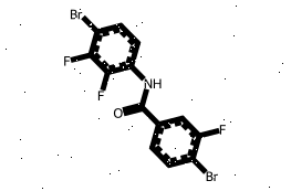 O=C(Nc1ccc(Br)c(F)c1F)c1ccc(Br)c(F)c1